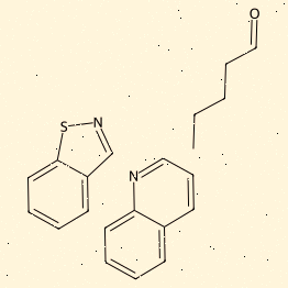 CCCCC=O.c1ccc2ncccc2c1.c1ccc2sncc2c1